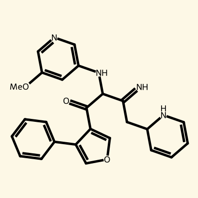 COc1cncc(NC(C(=N)CC2C=CC=CN2)C(=O)c2cocc2-c2ccccc2)c1